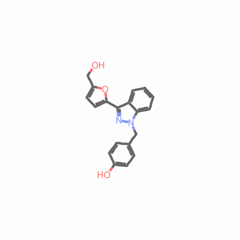 OCc1ccc(-c2nn(Cc3ccc(O)cc3)c3ccccc23)o1